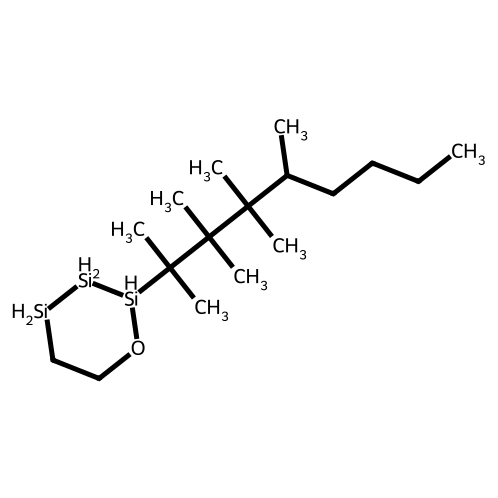 CCCCC(C)C(C)(C)C(C)(C)C(C)(C)[SiH]1OCC[SiH2][SiH2]1